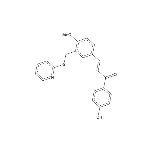 COc1ccc(/C=C/C(=O)c2ccc(O)cc2)cc1CSc1ccccn1